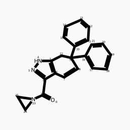 O=C(c1n[nH]c2c1C=CC(c1ccccc1)(c1ccccc1)C2)N1CC1